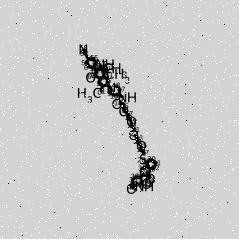 CCc1cc2c(cc1N1CCC(NC(=O)COCCOCCOCCOCCSc3cccc4c3CN(C3CCC(=O)NC3=O)C4=O)CC1)C(C)(C)c1[nH]c3cc(C#N)ccc3c1C2=O